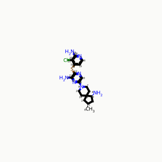 C[C@H]1C[C@@H](N)C2(CCN(c3cnc(Sc4ccnc(N)c4Cl)c(N)n3)CC2)C1